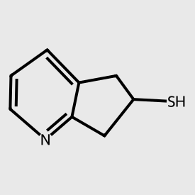 SC1Cc2cccnc2C1